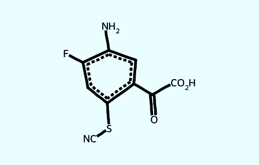 N#CSc1cc(F)c(N)cc1C(=O)C(=O)O